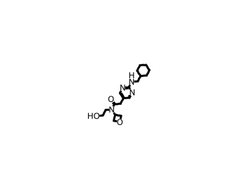 O=C(Cc1cnc(NCC2CCCCC2)nc1)N(CCO)C1COC1